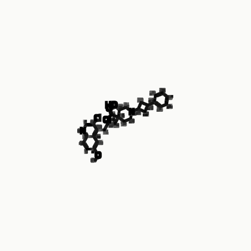 COc1ccc2ncc(Cl)c(CCCC3(C(=O)O)CCN(C4CC(c5ccccc5)C4)CC3O)c2c1